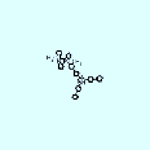 CC1CC=CC=C1c1nc2ccccc2c2c1c1ccccc1n2C1C=CC(c2ccc(-c3nc(-c4ccc(-c5ccccc5)cc4)nc(-c4ccc(-c5ccccc5)cc4)n3)cc2)=CC1C